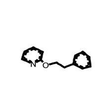 c1ccc(CCOc2ccccn2)cc1